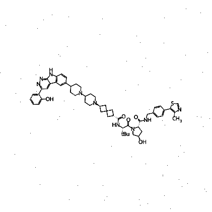 Cc1ncsc1-c1ccc(CNC(=O)[C@@H]2C[C@@H](O)CN2C(=O)[C@@H](NC(=O)[C@H]2CC3(C2)C[C@H](N2CCC(N4CCC(c5ccc6[nH]c7nnc(-c8ccccc8O)cc7c6c5)CC4)CC2)C3)C(C)(C)C)cc1